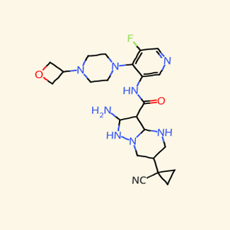 N#CC1(C2CNC3C(C(=O)Nc4cncc(F)c4N4CCN(C5COC5)CC4)C(N)NN3C2)CC1